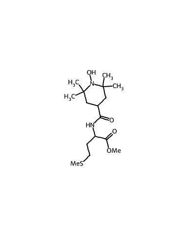 COC(=O)C(CCSC)NC(=O)C1CC(C)(C)N(O)C(C)(C)C1